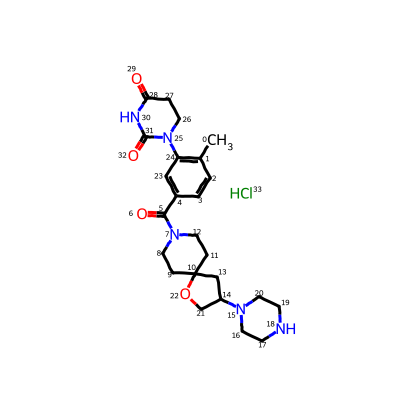 Cc1ccc(C(=O)N2CCC3(CC2)CC(N2CCNCC2)CO3)cc1N1CCC(=O)NC1=O.Cl